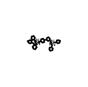 c1ccc(-c2nc(-c3ccccc3)nc(-c3cccc(-c4ccc(-c5nc(-c6ccccc6)n6c(-c7ccccc7)c7ccccc7c6n5)cc4)c3)n2)cc1